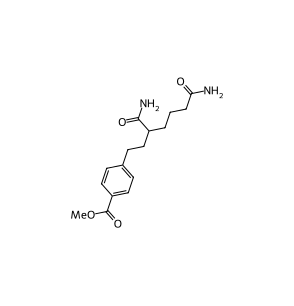 COC(=O)c1ccc(CCC(CCCC(N)=O)C(N)=O)cc1